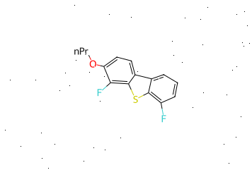 CCCOc1ccc2c(sc3c(F)cccc32)c1F